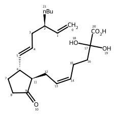 C=C[C@@H](C/C=C/[C@H]1CCC(=O)[C@@H]1C/C=C\CCC(O)(O)C(=O)O)CCCC